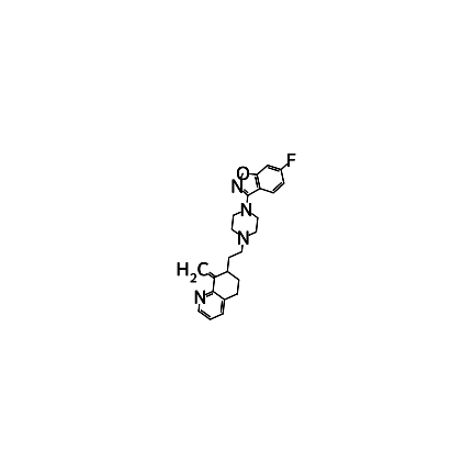 C=C1c2ncccc2CCC1CCN1CCN(c2noc3cc(F)ccc23)CC1